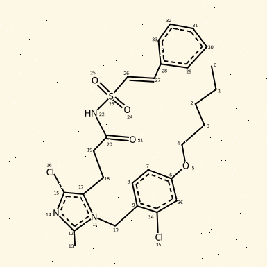 CCCCCOc1ccc(Cn2c(C)nc(Cl)c2CCC(=O)NS(=O)(=O)C=Cc2ccccc2)c(Cl)c1